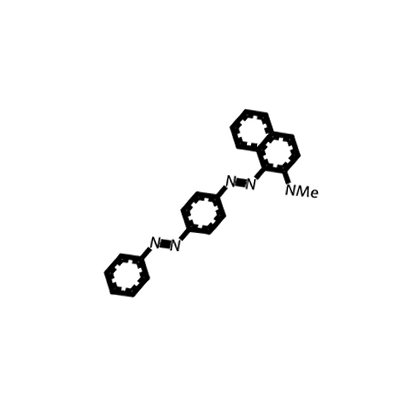 CNc1ccc2ccccc2c1N=Nc1ccc(N=Nc2ccccc2)cc1